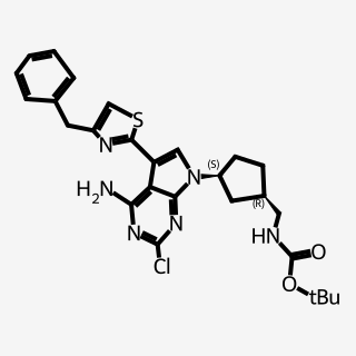 CC(C)(C)OC(=O)NC[C@@H]1CC[C@H](n2cc(-c3nc(Cc4ccccc4)cs3)c3c(N)nc(Cl)nc32)C1